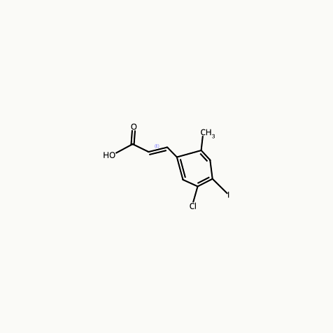 Cc1cc(I)c(Cl)cc1/C=C/C(=O)O